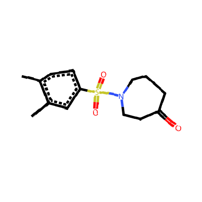 Cc1ccc(S(=O)(=O)N2CCCC(=O)CC2)cc1C